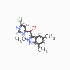 Cc1cc(C)c2nn(C)c(C(=O)c3cc(Cl)ncn3)c2c1